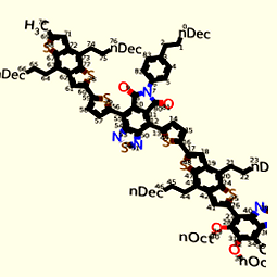 CCCCCCCCCCCCc1ccc(N2C(=O)c3c(c(-c4ccc(-c5cc6c(CCCCCCCCCCCC)c7sc(-c8c(OCCCCCCCC)c(OCCCCCCCC)c(C)c9nsnc89)cc7c(CCCCCCCCCCCC)c6s5)s4)c4nsnc4c3-c3ccc(-c4cc5c(CCCCCCCCCCCC)c6sc(C)cc6c(CCCCCCCCCCCC)c5s4)s3)C2=O)cc1